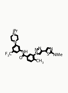 CNc1ncc(-c2cn(-c3cc(C(=O)Nc4cc(N5CCN(C(C)C)CC5)cc(C(F)(F)F)c4)ccc3C)nn2)s1